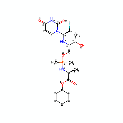 C=P(C)(N[C@@H](C)C(=O)OC1CCCCC1)OC[C@@H](N[C@H](CF)n1ccc(=O)[nH]c1=O)[C@H](C)O